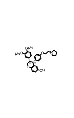 COc1ccc([C@H]2COc3ccc(O)cc3[C@H]2c2ccc(OCCN3CCCC3)cc2)cc1OC